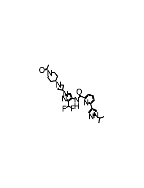 CC(=O)N1CCC(N2CC(n3cc(NC(=O)c4cccc(-c5cnn(C(C)C)c5)n4)c(C(F)F)n3)C2)CC1